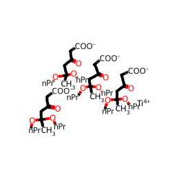 CCCOC(C)(CC(=O)CC(=O)[O-])OCCC.CCCOC(C)(CC(=O)CC(=O)[O-])OCCC.CCCOC(C)(CC(=O)CC(=O)[O-])OCCC.CCCOC(C)(CC(=O)CC(=O)[O-])OCCC.[Ti+4]